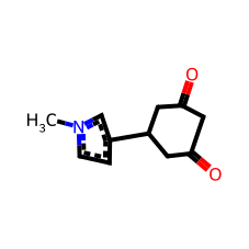 Cn1ccc(C2CC(=O)CC(=O)C2)c1